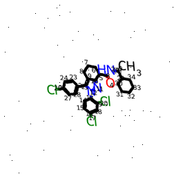 C[C@@H](NC(=O)C1CCCc2c1nn(-c1ccc(Cl)cc1Cl)c2-c1ccc(Cl)cc1)C1CCCCC1